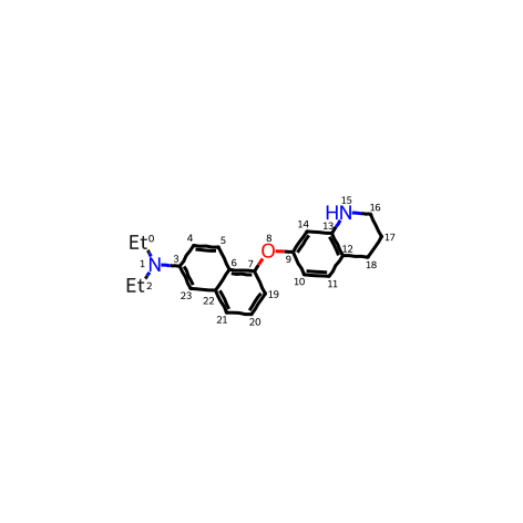 CCN(CC)c1ccc2c(Oc3ccc4c(c3)NCCC4)cccc2c1